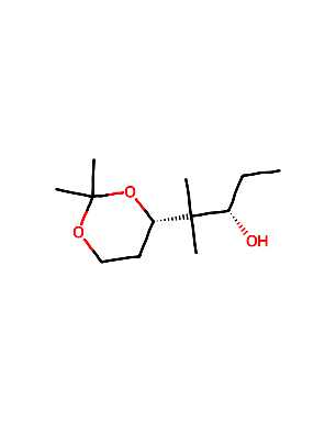 CC[C@H](O)C(C)(C)[C@@H]1CCOC(C)(C)O1